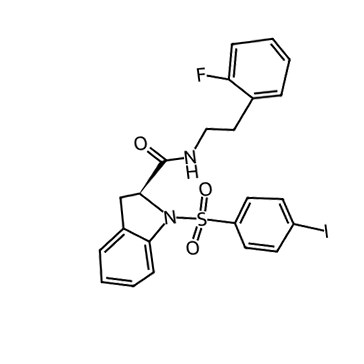 O=C(NCCc1ccccc1F)[C@@H]1Cc2ccccc2N1S(=O)(=O)c1ccc(I)cc1